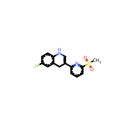 CS(=O)(=O)c1cccc(C2=[C]Nc3ccc(F)cc3C2)n1